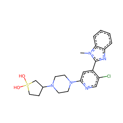 Cn1c(-c2cc(N3CCN(C4CCS(O)(O)C4)CC3)ncc2Cl)nc2ccccc21